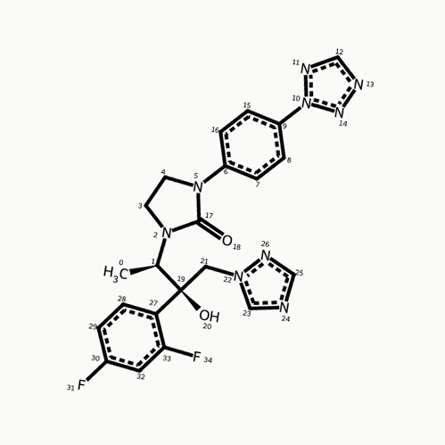 C[C@@H](N1CCN(c2ccc(-n3ncnn3)cc2)C1=O)[C@](O)(Cn1cncn1)c1ccc(F)cc1F